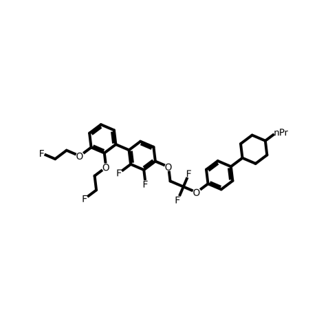 CCCC1CCC(c2ccc(OC(F)(F)COc3ccc(-c4cccc(OCCF)c4OCCF)c(F)c3F)cc2)CC1